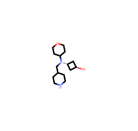 O[C@H]1C[C@H](N(CC2CCNCC2)C2CCOCC2)C1